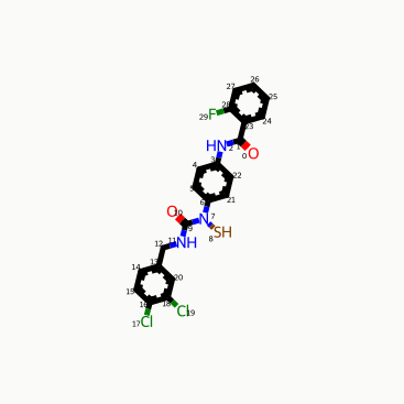 O=C(Nc1ccc(N(S)C(=O)NCc2ccc(Cl)c(Cl)c2)cc1)c1ccccc1F